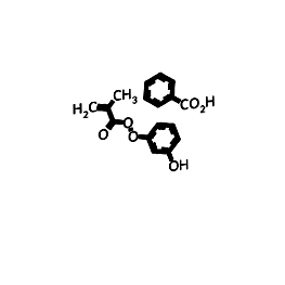 C=C(C)C(=O)OOc1cccc(O)c1.O=C(O)c1ccccc1